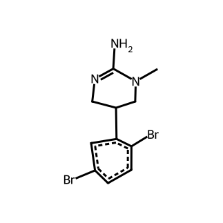 CN1CC(c2cc(Br)ccc2Br)CN=C1N